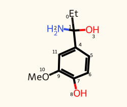 CCC(N)(O)c1ccc(O)c(OC)c1